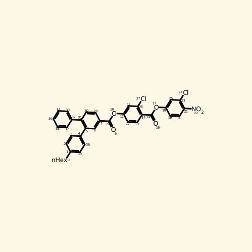 CCCCCCc1ccc(-c2cc(C(=O)Oc3ccc(C(=O)Oc4ccc([N+](=O)[O-])c(Cl)c4)c(Cl)c3)ccc2-c2ccccc2)cc1